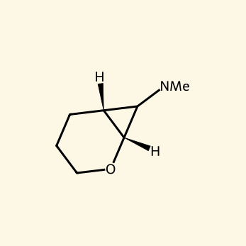 CNC1[C@H]2CCCO[C@@H]12